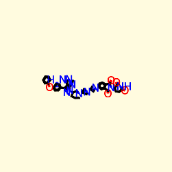 Nc1ncnc2c1c(-c1ccc(Oc3ccccc3)cc1)nn2[C@@H]1CCCN(C2CN(C3CN(c4ccc5c(c4)C(=O)N(C4CCC(=O)NC4=O)C5=O)C3)C2)C1